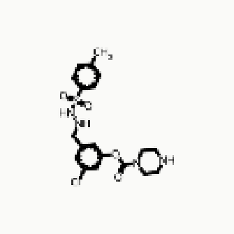 Cc1ccc(S(=O)(=O)NNCc2cc(Cl)cc(OC(=O)N3CCNCC3)c2)cc1